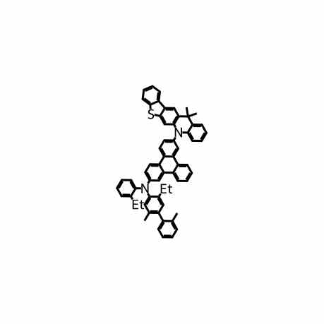 CCc1ccccc1N(c1ccc2c3ccc(N4c5ccccc5C(C)(C)c5cc6c(cc54)sc4ccccc46)cc3c3ccccc3c2c1)c1cc(C)c(-c2ccccc2C)cc1CC